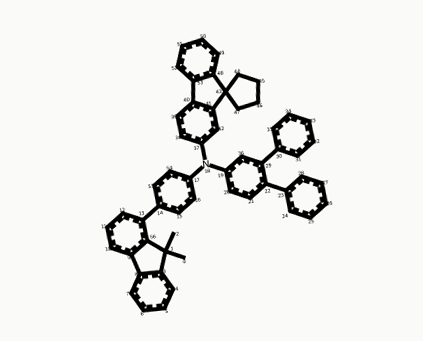 CC1(C)c2ccccc2-c2cccc(-c3ccc(N(c4ccc(-c5ccccc5)c(-c5ccccc5)c4)c4ccc5c(c4)C4(CCCC4)c4ccccc4-5)cc3)c21